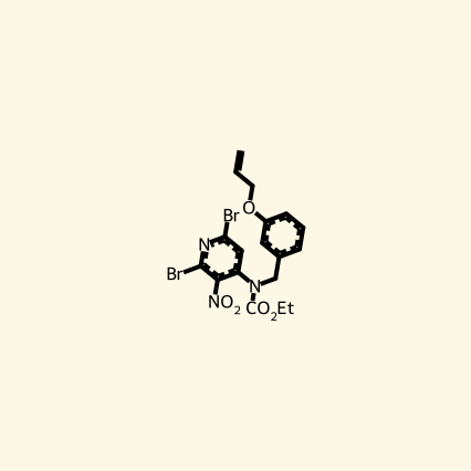 C=CCOc1cccc(CN(C(=O)OCC)c2cc(Br)nc(Br)c2[N+](=O)[O-])c1